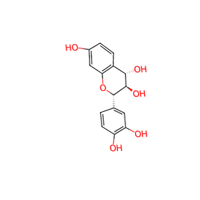 Oc1ccc2c(c1)O[C@@H](c1ccc(O)c(O)c1)[C@H](O)[C@H]2O